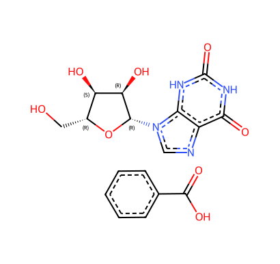 O=C(O)c1ccccc1.O=c1[nH]c(=O)c2ncn([C@@H]3O[C@H](CO)[C@@H](O)[C@H]3O)c2[nH]1